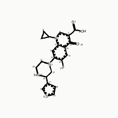 O=C(O)c1cn(C2CC2)c2cc(N3CCNC(c4ccsc4)C3)c(F)cc2c1=O